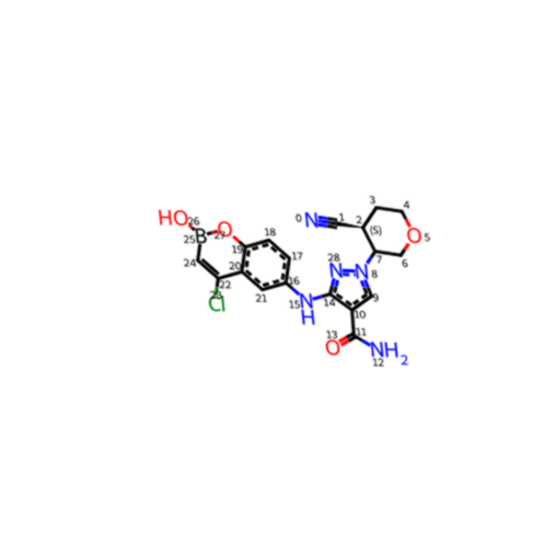 N#C[C@H]1CCOCC1n1cc(C(N)=O)c(Nc2ccc3c(c2)C(Cl)=CB(O)O3)n1